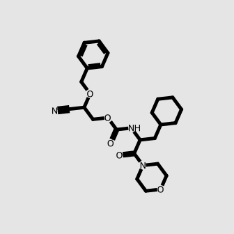 N#CC(COC(=O)NC(CC1CCCCC1)C(=O)N1CCOCC1)OCc1ccccc1